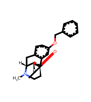 CN1CC[C@]23CC(=O)CC[C@H]2[C@H]1Cc1ccc(OCc2ccccc2)cc13